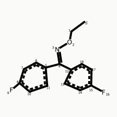 [CH2]CON=C(c1ccc(F)cc1)c1ccc(F)cc1